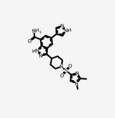 Cc1nc(S(=O)(=O)N2CCC(c3n[nH]c4c(C(N)=O)cc(-c5cn[nH]c5)cc34)CC2)cn1C